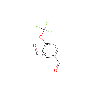 C=O.O=Cc1ccc(OC(F)(F)F)cc1